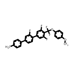 Cc1ccc(-c2ccc(-c3cc(F)c(C(F)(F)Oc4ccc(OC(F)(F)F)cc4)c(F)c3)c(F)c2)cc1